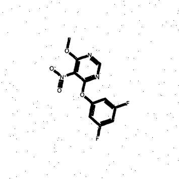 COc1ncnc(Oc2cc(F)cc(F)c2)c1[N+](=O)[O-]